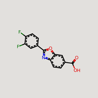 O=C(O)c1ccc2nc(-c3ccc(F)c(F)c3)oc2c1